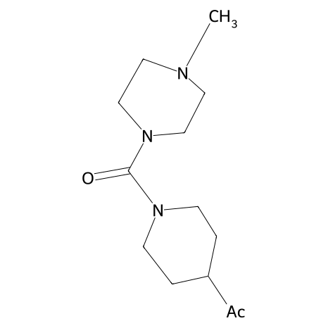 CC(=O)C1CCN(C(=O)N2CCN(C)CC2)CC1